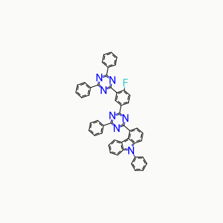 Fc1ccc(-c2nc(-c3ccccc3)nc(-c3cccc4c3c3ccccc3n4-c3ccccc3)n2)cc1-c1nc(-c2ccccc2)nc(-c2ccccc2)n1